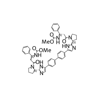 COC(=O)N[C@@H](CC(=O)N1CCC[C@H]1c1ncc(-c2ccc(-c3ccc(-c4cnc([C@@H]5CCCN5C(=O)C[C@H](NC(=O)OC)c5ccccc5)[nH]4)cc3)cc2)[nH]1)c1ccccc1